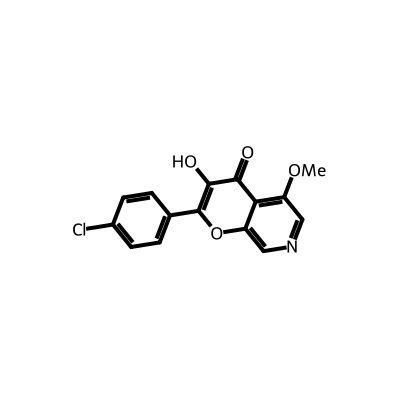 COc1cncc2oc(-c3ccc(Cl)cc3)c(O)c(=O)c12